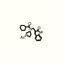 CC(=O)N1CC[C@@H](N(Cc2cc3ccccc3n(C)c2=O)C(=O)C2CCCCC2)C1